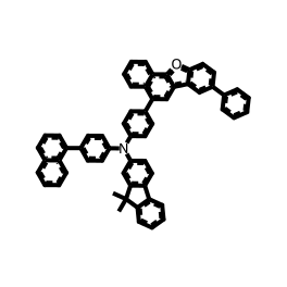 CC1(C)c2ccccc2-c2ccc(N(c3ccc(-c4cccc5ccccc45)cc3)c3ccc(-c4cc5c6cc(-c7ccccc7)ccc6oc5c5ccccc45)cc3)cc21